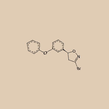 BrC1=NO[C@H](c2cccc(Oc3ccccc3)c2)C1